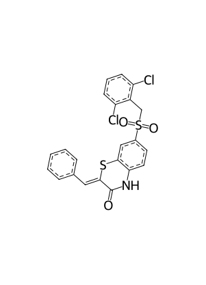 O=C1Nc2ccc(S(=O)(=O)Cc3c(Cl)cccc3Cl)cc2SC1=Cc1ccccc1